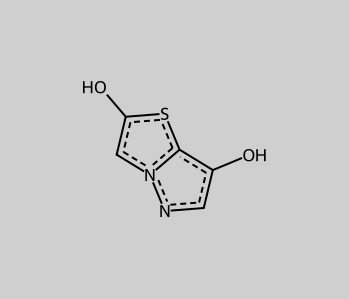 Oc1cn2ncc(O)c2s1